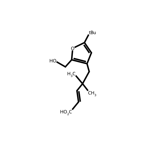 CC(C)(/C=C/C(=O)O)Cc1cc(C(C)(C)C)oc1CO